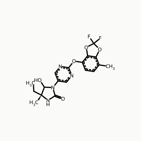 CC[C@@]1(C)NC(=O)N(c2cnc(Oc3ccc(C)c4c3OC(F)(F)O4)nc2)C1O